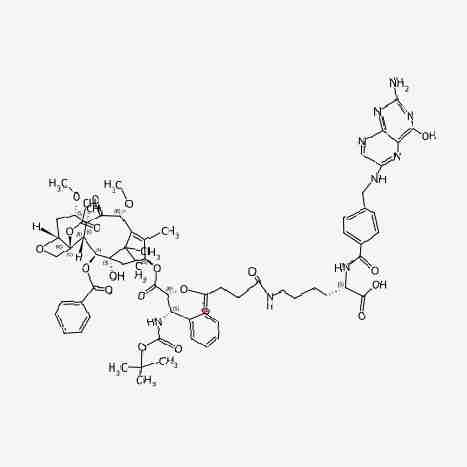 CO[C@H]1C(=O)[C@]2(C)[C@@H](OC)C[C@H]3OC[C@@]3(OC(C)=O)[C@H]2[C@H](OC(=O)c2ccccc2)[C@]2(O)C[C@H](OC(=O)[C@H](OC(=O)CCC(=O)NCCCC[C@H](NC(=O)c3ccc(CNc4cnc5nc(N)nc(O)c5n4)cc3)C(=O)O)[C@@H](NC(=O)OC(C)(C)C)c3ccccc3)C(C)=C1C2(C)C